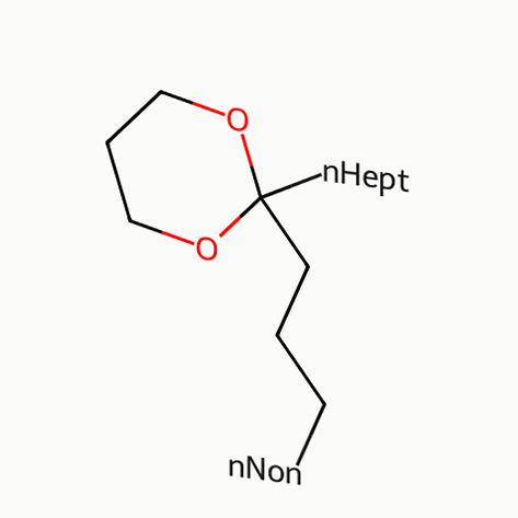 CCCCCCCCCCCCC1(CCCCCCC)OCCCO1